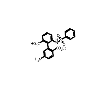 CCOC(=O)c1ccc(N)cc1-c1c(NS(=O)(=O)c2ccccc2)cccc1C(=O)O